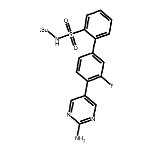 CC(C)(C)NS(=O)(=O)c1ccccc1-c1ccc(-c2cnc(N)nc2)c(F)c1